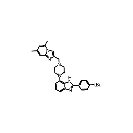 Cc1cc(C)n2cc(CN3CCN(c4cccc5nc(-c6ccc(C(C)(C)C)cc6)[nH]c45)CC3)nc2c1